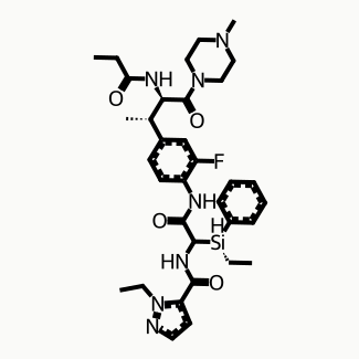 CCC(=O)N[C@@H](C(=O)N1CCN(C)CC1)[C@@H](C)c1ccc(NC(=O)C(NC(=O)c2ccnn2CC)[Si@@H](CC)c2ccccc2)c(F)c1